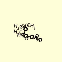 COc1ccc(-c2c(C)[nH]c3cnc(C4CCN(C(=O)CN5CCCC5)CC4)cc23)cc1OC